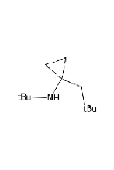 CC(C)(C)CC1(NC(C)(C)C)CC1